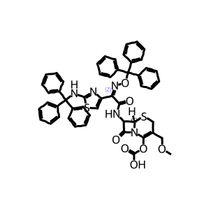 COCC1=C(OC(=O)O)N2C(=O)C(NC(=O)/C(=N\OC(c3ccccc3)(c3ccccc3)c3ccccc3)c3csc(NC(c4ccccc4)(c4ccccc4)c4ccccc4)n3)[C@@H]2SC1